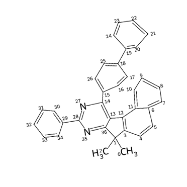 CC1(C)c2ccc3ccccc3c2-c2c(-c3ccc(-c4ccccc4)cc3)nc(-c3ccccc3)nc21